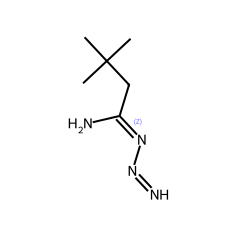 CC(C)(C)C/C(N)=N/N=N